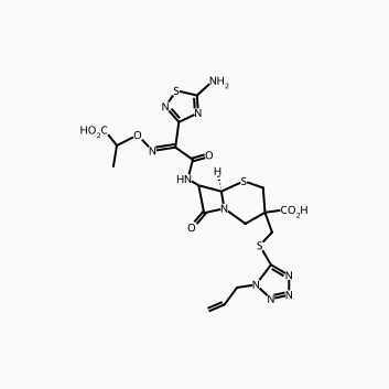 C=CCn1nnnc1SCC1(C(=O)O)CS[C@@H]2C(NC(=O)C(=NOC(C)C(=O)O)c3nsc(N)n3)C(=O)N2C1